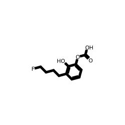 O=C(O)Oc1cccc(CCCCF)c1O